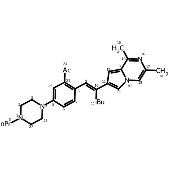 CCCN1CCN(c2ccc(/C=C(/c3cc4c(C)nc(C)cn4c3)C(C)CC)c(C(C)=O)c2)CC1